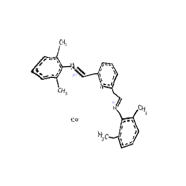 Cc1cccc(C)c1/N=C/c1cccc(/C=N/c2c(C)cccc2C)n1.[Co]